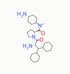 CN(C(=O)[C@@H]1CCCN1C(=O)[C@@H](N)C(C1CCCCC1)C1CCCCC1)[C@H]1CC[C@H](N)CC1